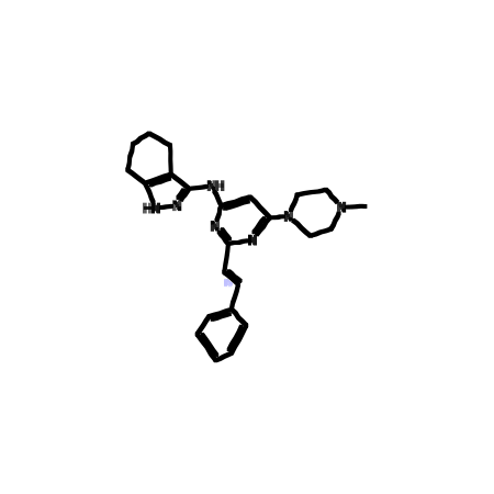 CN1CCN(c2cc(Nc3n[nH]c4c3CCCC4)nc(/C=C/c3ccccc3)n2)CC1